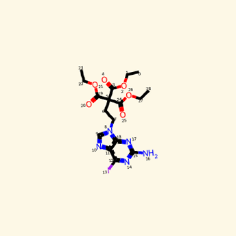 CCOC(=O)C(CCn1cnc2c(I)nc(N)nc21)(C(=O)OCC)C(=O)OCC